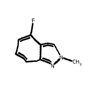 Cn1cc2c(F)cccc2n1